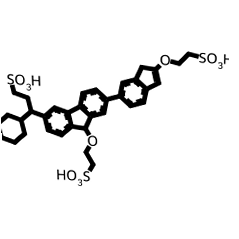 O=S(=O)(O)CCOC1=Cc2ccc(-c3ccc4c(c3)C(OCCS(=O)(=O)O)c3ccc(C(CCS(=O)(=O)O)C5CCCCC5)cc3-4)cc2C1